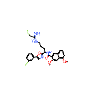 COc1cc2c(OC)cccc2cc1C(=O)NC(CCCNC(=N)CF)c1ncc(-c2cccc(F)c2)o1